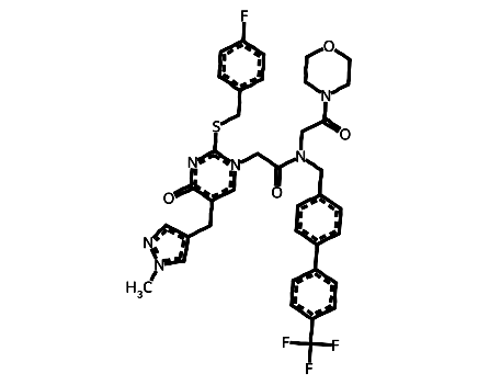 Cn1cc(Cc2cn(CC(=O)N(CC(=O)N3CCOCC3)Cc3ccc(-c4ccc(C(F)(F)F)cc4)cc3)c(SCc3ccc(F)cc3)nc2=O)cn1